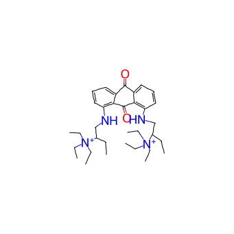 CCC(CNc1cccc2c1C(=O)c1c(NCC(CC)[N+](CC)(CC)CC)cccc1C2=O)[N+](CC)(CC)CC